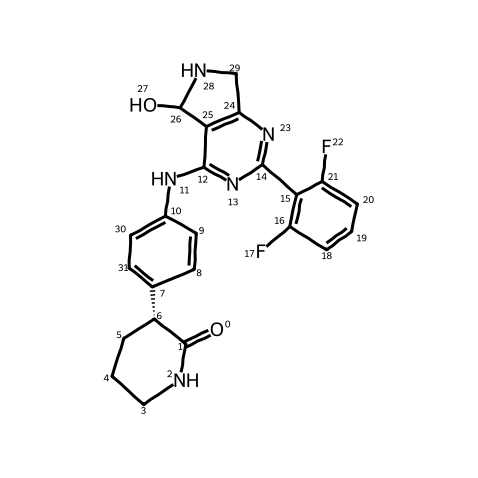 O=C1NCCC[C@@H]1c1ccc(Nc2nc(-c3c(F)cccc3F)nc3c2C(O)NC3)cc1